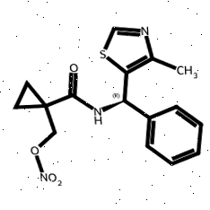 Cc1ncsc1[C@H](NC(=O)C1(CO[N+](=O)[O-])CC1)c1ccccc1